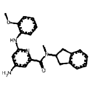 COc1ccccc1Nc1cc(N)cc(C(=O)N(C)C2Cc3ccccc3C2)n1